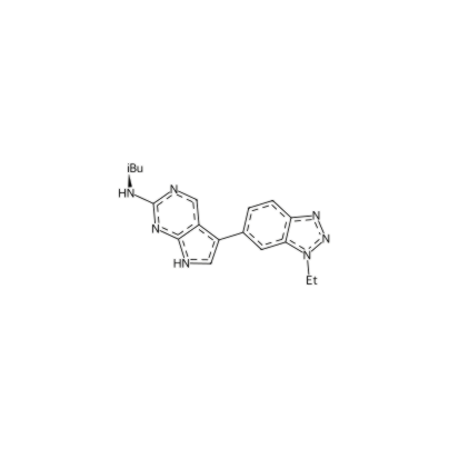 CC[C@H](C)Nc1ncc2c(-c3ccc4nnn(CC)c4c3)c[nH]c2n1